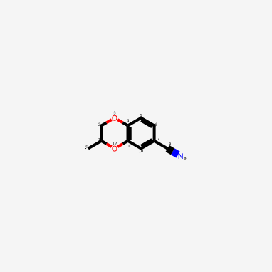 [CH2]C1COc2ccc(C#N)cc2O1